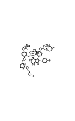 CCOC(=O)[C@@H](Cc1cc(O[Si](C)(C)C(C)(C)C)ccc1OCc1ccnc(OCCC(F)(F)F)n1)Oc1ncnc2sc(-c3ccc(F)cc3)c(-c3ccc(O[C@@H](CO)CN4CCN(C)CC4)c(Cl)c3C)c12